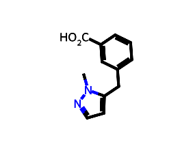 Cn1nccc1Cc1cccc(C(=O)O)c1